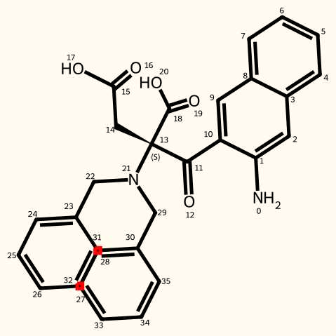 Nc1cc2ccccc2cc1C(=O)[C@@](CC(=O)O)(C(=O)O)N(Cc1ccccc1)Cc1ccccc1